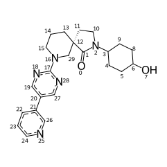 O=C1N(C2CCC(O)CC2)CC[C@]12CCCN(c1ncc(-c3cccnc3)cn1)C2